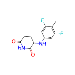 Cc1c(F)cc(NC2CCC(=O)NC2=O)cc1F